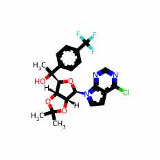 CC1(C)O[C@@H]2[C@H](O1)[C@@H](C(C)(O)c1ccc(C(F)(F)F)cc1)O[C@H]2n1ccc2c(Cl)ncnc21